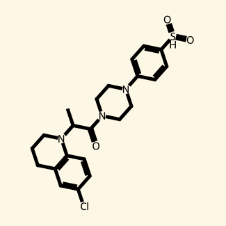 CC(C(=O)N1CCN(c2ccc([SH](=O)=O)cc2)CC1)N1CCCc2cc(Cl)ccc21